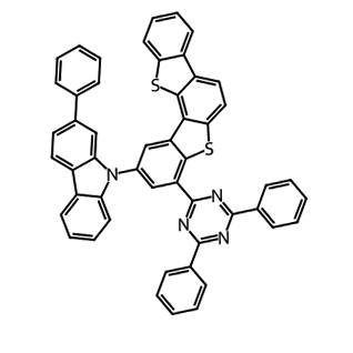 c1ccc(-c2ccc3c4ccccc4n(-c4cc(-c5nc(-c6ccccc6)nc(-c6ccccc6)n5)c5sc6ccc7c8ccccc8sc7c6c5c4)c3c2)cc1